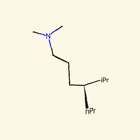 CCC[C@@H](CCCN(C)C)C(C)C